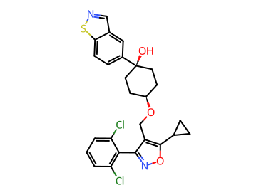 O[C@]1(c2ccc3sncc3c2)CC[C@H](OCc2c(-c3c(Cl)cccc3Cl)noc2C2CC2)CC1